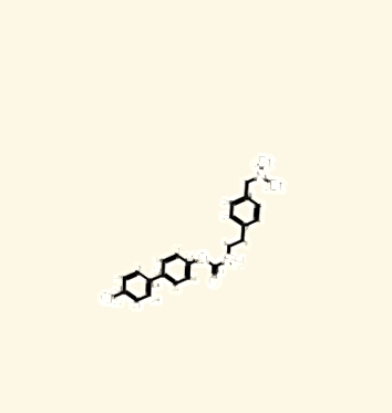 CCN(CC)Cc1ccc(CCNC(=O)Oc2ccc(-c3ccc(Cl)cc3)cc2)cc1